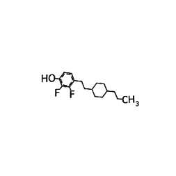 CCCC1CCC(CCc2ccc(O)c(F)c2F)CC1